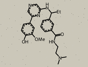 CCC(Nc1cncc(-c2ccc(O)c(OC)c2)n1)c1cccc(C(=O)NCCN(C)C)c1